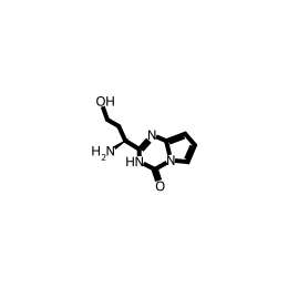 N[C@@H](CCO)c1nc2cccn2c(=O)[nH]1